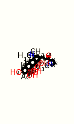 CC(=O)C1C(O)C[C@@H]2C[C@@H]3Cc4c(N(C)C)cc(CCC(=O)C5CCCN5C)c(O)c4C(=O)C3=C(O)[C@]2(O)C1O